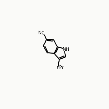 CCCc1c[nH]c2cc(C#N)ccc12